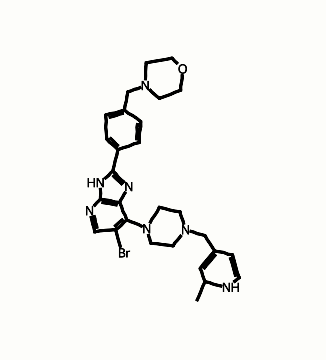 CC1C=C(CN2CCN(c3c(Br)cnc4[nH]c(-c5ccc(CN6CCOCC6)cc5)nc34)CC2)C=CN1